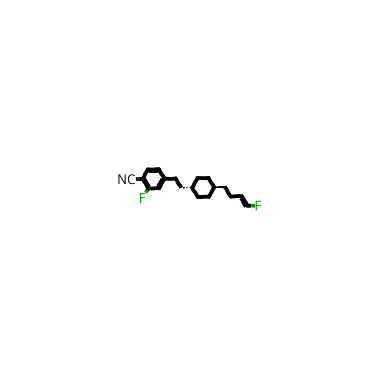 N#Cc1ccc(CC[C@H]2CC[C@H](CCC=CF)CC2)cc1F